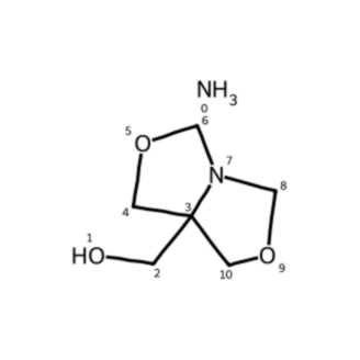 N.OCC12COCN1COC2